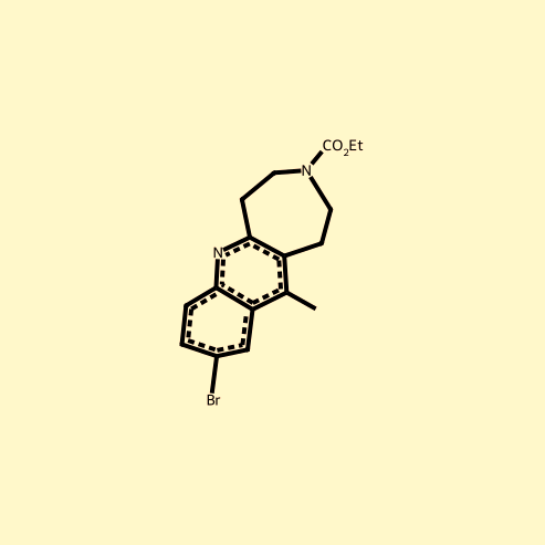 CCOC(=O)N1CCc2nc3ccc(Br)cc3c(C)c2CC1